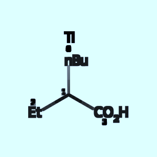 CCCCC(CC)C(=O)O.[Ti]